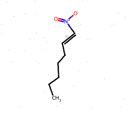 CCCCC/C=C/[N+](=O)[O-]